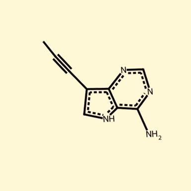 CC#Cc1c[nH]c2c(N)ncnc12